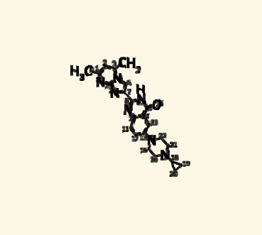 Cc1cc(C)n2cc(-c3nc4ccc(N5CCN(C6CC6)CC5)cc4c(=O)[nH]3)nc2n1